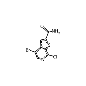 NC(=O)c1cc2c(Br)cnc(Cl)c2s1